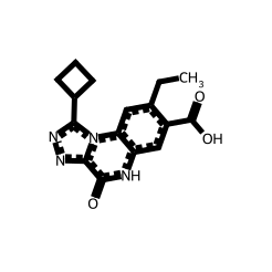 CCc1cc2c(cc1C(=O)O)[nH]c(=O)c1nnc(C3CCC3)n12